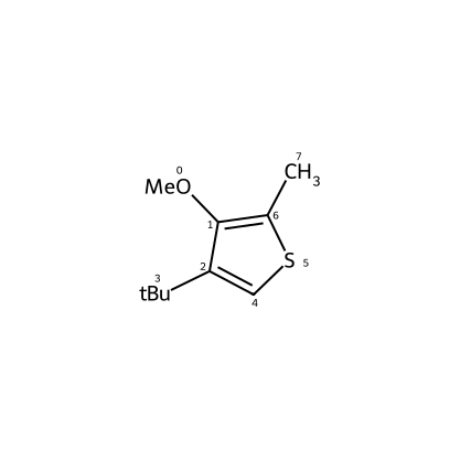 COc1c(C(C)(C)C)csc1C